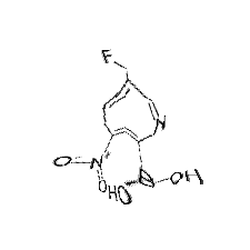 O=[N+]([O-])c1cc(F)cnc1B(O)O